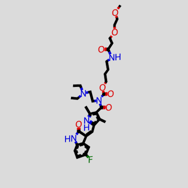 CCN(CC)CCN(C(=O)OCCCCNC(=O)CCOCCOC)C(=O)c1c(C)[nH]c(/C=C2\C(=O)Nc3ccc(F)cc32)c1C